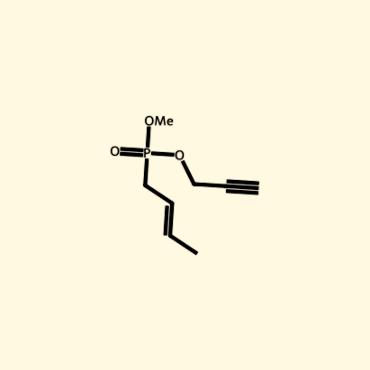 C#CCOP(=O)(CC=CC)OC